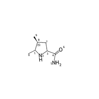 CC1NC(C(N)=O)C[C@@H]1C